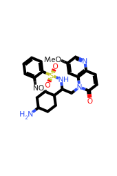 COc1cnc2ccc(=O)n(CC(NS(=O)(=O)c3ccccc3[N+](=O)[O-])C3CCC(N)CC3)c2c1